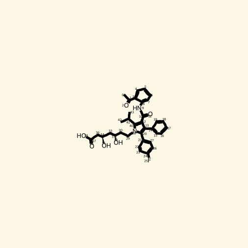 CC(=O)c1ccccc1NC(=O)c1c(-c2ccccc2)c(-c2ccc(F)cc2)n(CC[C@@H](O)C[C@@H](O)CC(=O)O)c1C(C)C